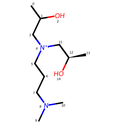 CC(O)C[N+](CCCN(C)C)C[C@@H](C)O